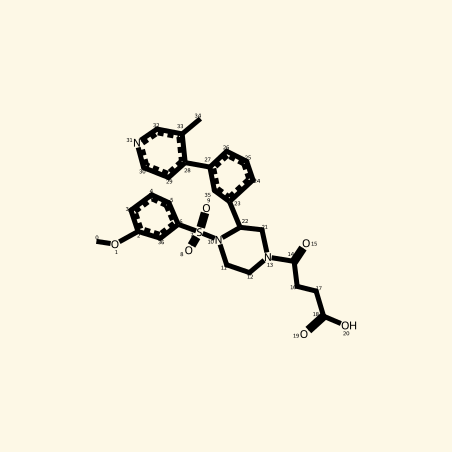 COc1cccc(S(=O)(=O)N2CCN(C(=O)CCC(=O)O)CC2c2cccc(-c3ccncc3C)c2)c1